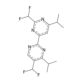 CC(C)c1cc(-c2ncc(C(F)F)c(C(C)C)n2)nc(C(F)F)n1